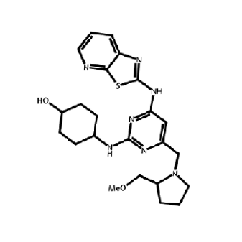 COCC1CCCN1Cc1cc(Nc2nc3cccnc3s2)nc(NC2CCC(O)CC2)n1